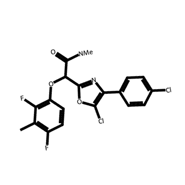 CNC(=O)C(Oc1ccc(F)c(C)c1F)c1nc(-c2ccc(Cl)cc2)c(Cl)o1